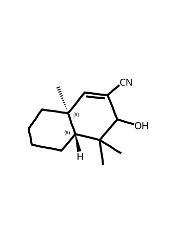 CC1(C)C(O)C(C#N)=C[C@]2(C)CCCC[C@@H]12